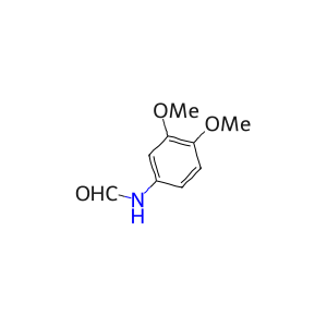 COc1ccc(NC=O)cc1OC